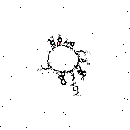 C[C@@H](O)[C@@H]1NC(=O)[C@H](Cc2cn(C)c3ccccc23)NC(=O)[C@H](CCCCNC(=O)N2CCN(CC(=O)O)CC2)NC(=O)[C@H](Cc2cn(C)c3c(Cl)cccc23)NC(=O)[C@H](CCC(=O)O)N(C)C(=O)[C@H](CCCC(N)=O)NC(=O)[C@H](C2CCC2)NC(=O)[C@H](CC(N)=O)NC(=O)[C@H](Cc2cccc(O)c2)N(C)C(=O)[C@@H](Cc2cccc(C(N)=O)c2)NC(=O)CSCCNC(=O)[C@H](CCCC(N)=O)NC1=O